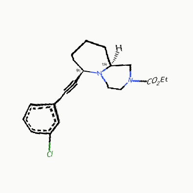 CCOC(=O)N1CCN2[C@@H](CCC[C@@H]2C#Cc2cccc(Cl)c2)C1